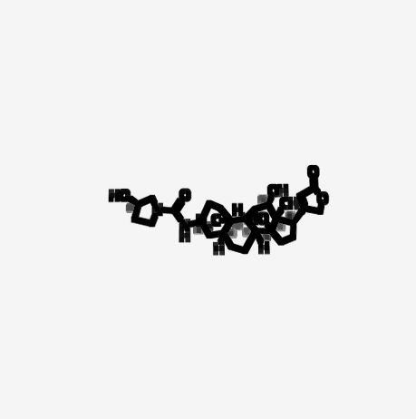 C[C@]12CC[C@H](NC(=O)N3CC[C@@H](O)C3)C[C@H]1CC[C@@H]1[C@@H]2C[C@@H](O)[C@]2(C)[C@@H](C3=CC(=O)OC3)CC[C@]12O